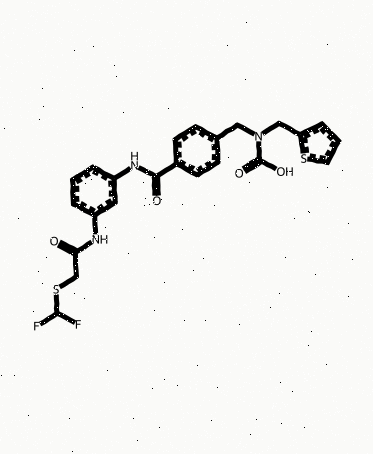 O=C(CSC(F)F)Nc1cccc(NC(=O)c2ccc(CN(Cc3cccs3)C(=O)O)cc2)c1